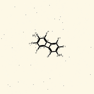 Nc1c(F)c(F)c2c(c1F)-c1c(F)c(F)c(N)c(F)c1-2